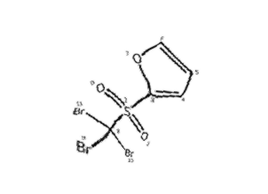 O=S(=O)(c1ccco1)C(Br)(Br)Br